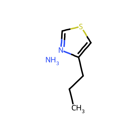 CCCc1cscn1.N